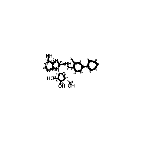 Cc1cc(-c2ccccc2)ccc1CNc1nc2c(N)ncnc2n1[C@@H]1O[C@H](CO)[C@@H](O)[C@H]1O